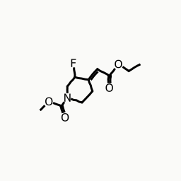 CCOC(=O)C=C1CCN(C(=O)OC)CC1F